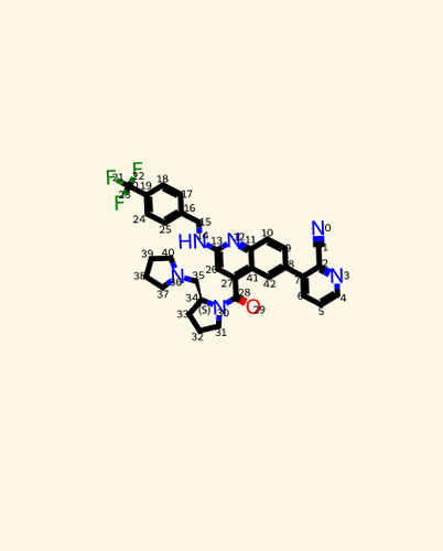 N#Cc1ncccc1-c1ccc2nc(NCc3ccc(C(F)(F)F)cc3)cc(C(=O)N3CCC[C@H]3CN3CCCC3)c2c1